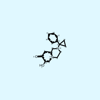 O=c1cc2n(cc1O)CCN(C1(c3ccccc3)CC1)C2